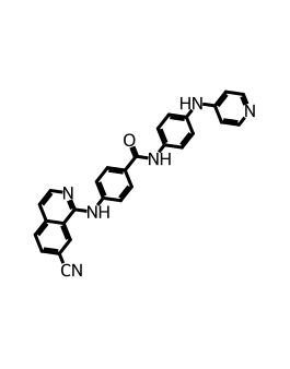 N#Cc1ccc2ccnc(Nc3ccc(C(=O)Nc4ccc(Nc5ccncc5)cc4)cc3)c2c1